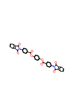 O=C(Oc1ccc(OC(=O)c2ccc(N3C(=O)C4C5C=CC(C5)C4C3=O)cc2)cc1)c1ccc(N2C(=O)C3C4C=CC(C4)C3C2=O)cc1